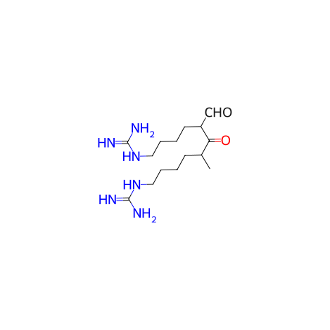 CC(CCCCNC(=N)N)C(=O)C(C=O)CCCCNC(=N)N